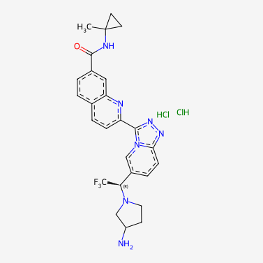 CC1(NC(=O)c2ccc3ccc(-c4nnc5ccc([C@@H](N6CCC(N)C6)C(F)(F)F)cn45)nc3c2)CC1.Cl.Cl